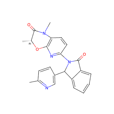 Cc1ccc(C2c3ccccc3C(=O)N2c2ccc3c(n2)O[C@H](C)C(=O)N3C)cn1